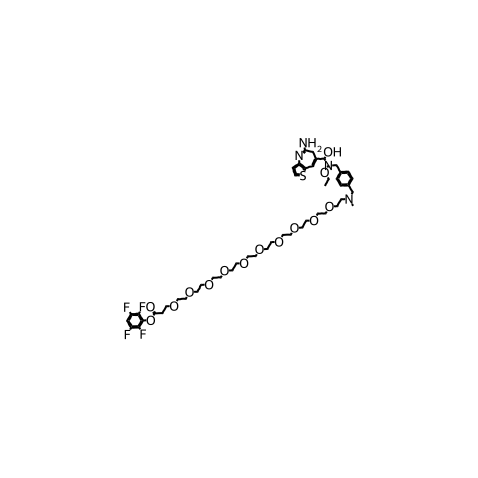 CCON(Cc1ccc(CN(C)CCOCCOCCOCCOCCOCCOCCOCCOCCOCCOCCC(=O)Oc2c(F)c(F)cc(F)c2F)cc1)C(O)C1=Cc2sccc2N=C(N)C1